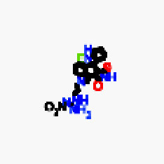 NC(=N[N+](=O)[O-])NCCCn1cc(C2=C(c3c[nH]c4ccccc34)C(=O)NC2=O)c2cc(F)ccc21